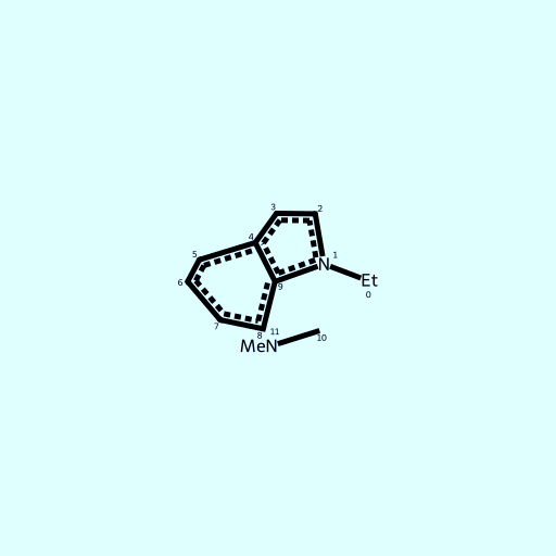 CCn1ccc2ccccc21.CNC